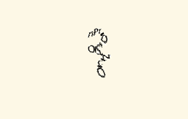 CCCOS(=O)N=C=O